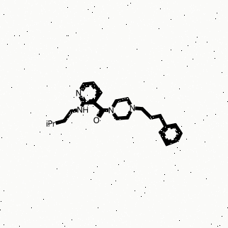 CC(C)CCNc1ncccc1C(=O)N1CCN(CCCc2ccccc2)CC1